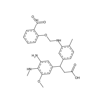 CNc1c(N)cc(C(CC(=O)O)c2ccc(C)c(NCOc3ccccc3[SH](=O)=O)c2)cc1OC